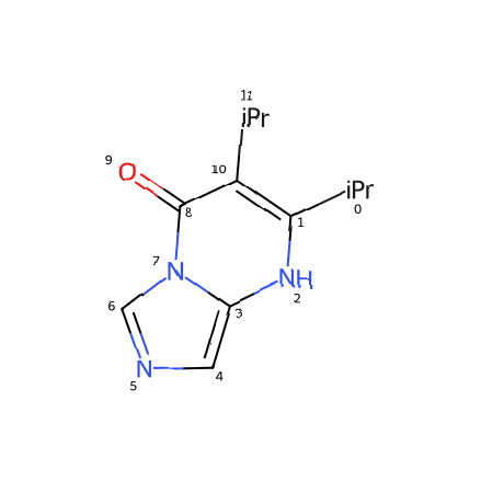 CC(C)c1[nH]c2cncn2c(=O)c1C(C)C